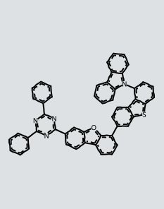 c1ccc(-c2nc(-c3ccccc3)nc(-c3ccc4c(c3)oc3c(-c5ccc6c(c5)sc5cccc(-n7c8ccccc8c8ccccc87)c56)cccc34)n2)cc1